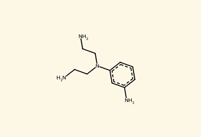 NCCN(CCN)c1cccc(N)c1